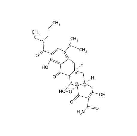 CCCN(CC)C(=O)c1cc(N(C)C)c2c(c1O)C(=O)C1=C(O)[C@]3(O)C(=O)C(C(N)=O)=C(O)C[C@@H]3C[C@@H]1C2